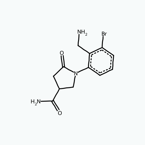 NCc1c(Br)cccc1N1CC(C(N)=O)CC1=O